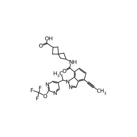 CC#Cc1ccc(C(=O)NC2CC3(C2)CC(C(=O)O)C3)c2c1cnn2C(C)c1cnc(OC(F)(F)F)nc1